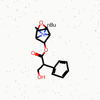 CCCC[N+]1(C)C2C3OC3C1C2OC(=O)C(CO)c1ccccc1